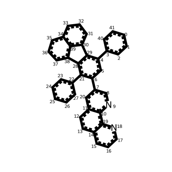 c1ccc(-c2cc(-c3cnc4c(ccc5cccnc54)c3)c(-c3ccccc3)c3c2-c2cccc4cccc-3c24)cc1